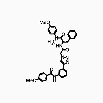 COc1ccc(C(=O)Nc2cccc(-c3cn(CC(=O)NC(Cc4ccccc4)C(=O)N(C)c4ccc(OC)cc4)nn3)c2)cc1